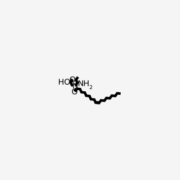 CCCCCCCC/C=C\CCCCCCCC(=O)N(CC(=O)O)C(N)CC